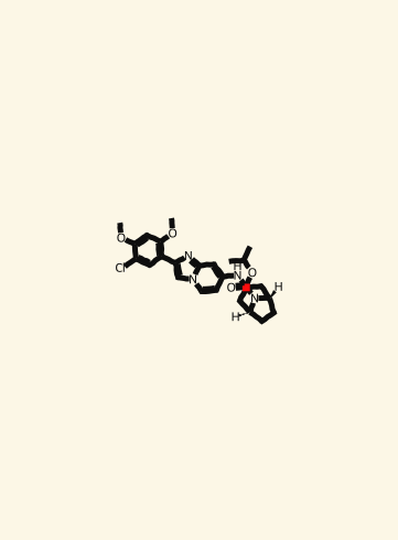 COc1cc(OC)c(-c2cn3ccc(NC4C[C@@H]5CC[C@@H](C4)N5C(=O)OC(C)C)cc3n2)cc1Cl